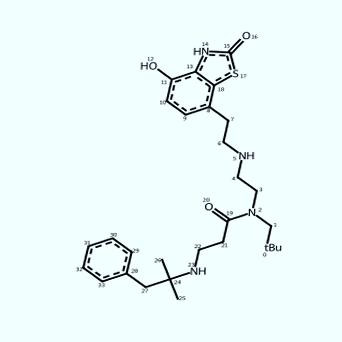 CC(C)(C)CN(CCNCCc1ccc(O)c2[nH]c(=O)sc12)C(=O)CCNC(C)(C)Cc1ccccc1